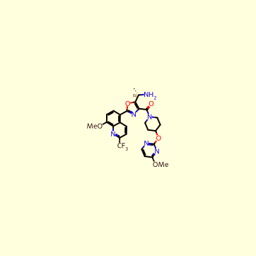 COc1ccnc(OC2CCN(C(=O)c3nc(-c4ccc(OC)c5nc(C(F)(F)F)ccc45)oc3[C@H](C)N)CC2)n1